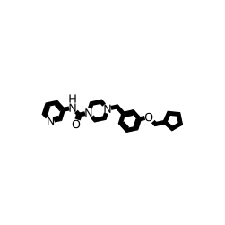 O=C(Nc1cccnc1)N1CCN(Cc2cccc(OCC3CCCC3)c2)CC1